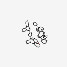 c1ccc(-c2nc3cc4c(cc3o2)oc2cccc(-c3ccc(N(c5ccc(-c6cc7ccccc7c7ccccc67)cc5)c5ccccc5-c5ccccc5)cc3)c24)cc1